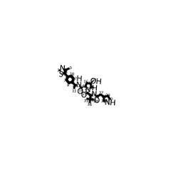 Cc1ncsc1-c1ccc(C(C)NC(=O)[C@@H]2C[C@@H](O)CN2C(=O)C(NC(=O)CC2CCNC2)C(C)(C)C)cc1